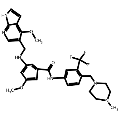 COc1cc(NCc2cnc3[nH]ccc3c2OC)cc(C(=O)Nc2ccc(CN3CCN(C)CC3)c(C(F)(F)F)c2)c1